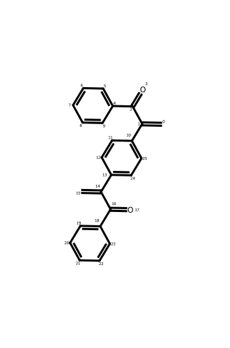 C=C(C(=O)c1ccccc1)c1ccc(C(=C)C(=O)c2ccccc2)cc1